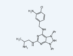 CC(N)CNc1nc(NCc2ccc(Cl)c(N)c2)c2c(n1)N(C(C)C)NN2C(C)C